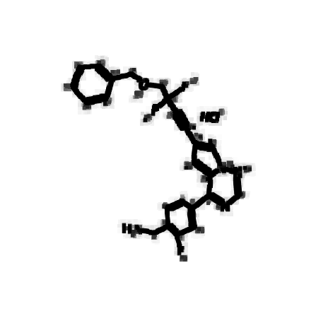 Cl.NCc1ccc(-c2ncnn3cc(C#CC(F)(F)COCc4ccccc4)cc23)cc1F